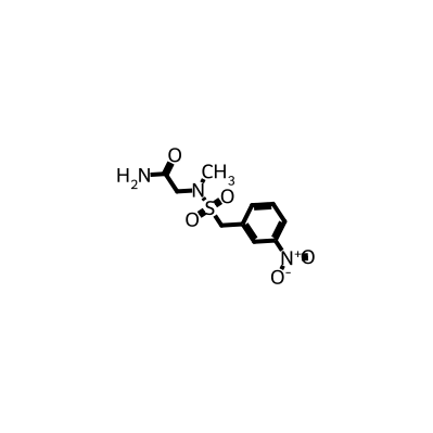 CN(CC(N)=O)S(=O)(=O)Cc1cccc([N+](=O)[O-])c1